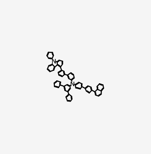 c1ccc(-c2cc(-c3ccccc3)cc(N(c3ccc(-c4ccc(-c5cccc6ccccc56)cc4)cc3)c3cccc(-c4cccc(-c5cccc6c5c5ccccc5n6-c5ccccc5)c4)c3)c2)cc1